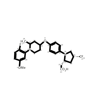 COc1ccc(F)c(N2CCC(Oc3ccc(N4C[C@H](C(F)(F)F)C[C@@H]4CC(=O)O)cc3)CC2C)c1